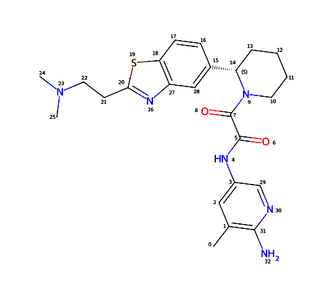 Cc1cc(NC(=O)C(=O)N2CCCC[C@H]2c2ccc3sc(CCN(C)C)nc3c2)cnc1N